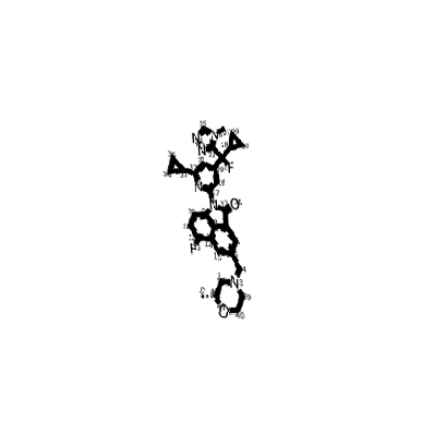 C[C@@H]1CN(Cc2cc3c4c(ccc(F)c4c2)N(c2cc(C(F)(c4nncn4C)C4CC4)cc(C4CC4)n2)C3=O)CCO1